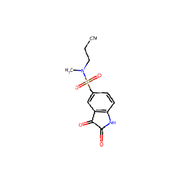 CN(CCC#N)S(=O)(=O)c1ccc2c(c1)C(=O)C(=O)N2